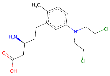 Cc1ccc(N(CCCl)CCCl)cc1CC[C@H](N)CC(=O)O